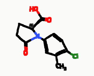 Cc1cc(N2C(=O)CC[C@H]2C(=O)O)ccc1Cl